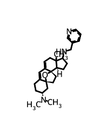 CN(C)[C@@H]1CCC2=CC3=CCC4(C)C(NCc5cccnc5)CC[C@H]4[C@@]34CC[C@]2(C1)O4